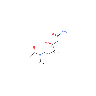 CC(=O)N(CC[C@@H](C)[C@@H](O)CC(N)=O)C(C)C